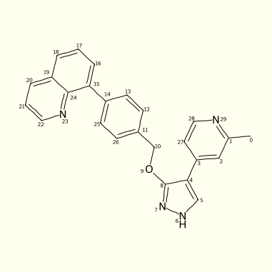 Cc1cc(-c2c[nH]nc2OCc2ccc(-c3cccc4cccnc34)cc2)ccn1